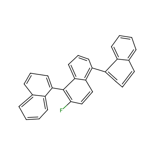 Fc1ccc2c(-c3cccc4ccccc34)cccc2c1-c1cccc2ccccc12